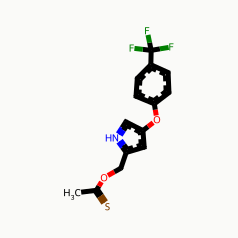 CC(=S)OCc1cc(Oc2ccc(C(F)(F)F)cc2)c[nH]1